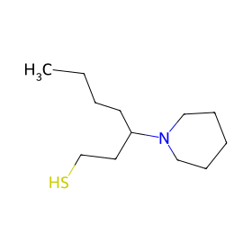 CCCCC(CCS)N1CCCCC1